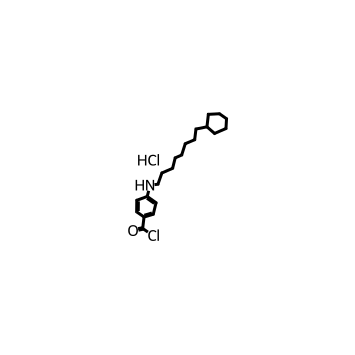 Cl.O=C(Cl)c1ccc(NCCCCCCCCC2CCCCC2)cc1